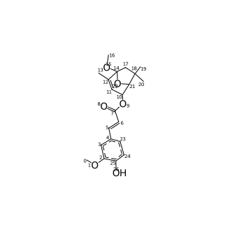 COc1cc(/C=C/C(=O)OC2C=C(C)C3(OC)CC(C)(C)C2O3)ccc1O